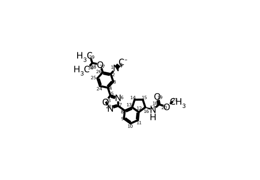 [C-]#[N+]c1cc(-c2nc(-c3cccc4c3CC[C@H]4NC(=O)OC)no2)ccc1OC(C)C